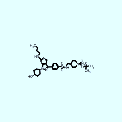 CCCCNc1ncc2c(-c3ccc(S(=O)(=O)NCC4CCN(C(=O)OC(C)(C)C)CC4)cc3)nn([C@H]3CC[C@H](O)CC3)c2n1